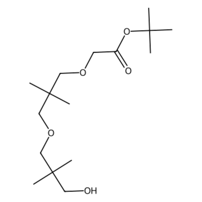 CC(C)(CO)COCC(C)(C)COCC(=O)OC(C)(C)C